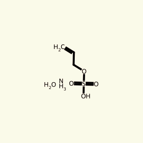 C=CCOS(=O)(=O)O.N.O